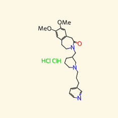 COc1cc2c(cc1OC)CC(=O)N(CC1CCCN(CCCc3cccnc3)C1)CC2.Cl.Cl